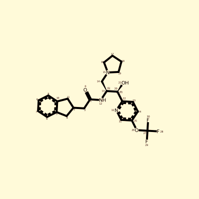 O=C(CC1Cc2ccccc2C1)N[C@@H](CN1CCCC1)[C@@H](O)c1ccc(OC(F)(F)F)cn1